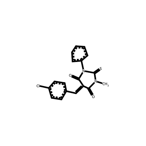 CN1C(=O)/C(=C/c2ccc(Cl)cc2)C(=O)N(c2ccccc2)C1=S